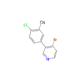 N#Cc1cc(-c2cnccc2Br)ccc1Cl